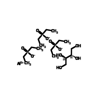 CCP(=O)([O-])CC.CCP(=O)([O-])CC.CCP(=O)([O-])CC.OC[C@@H](O)[C@@H](O)CO.[Al+3]